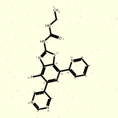 CCNC(=O)Nc1nc2c(F)c(-c3cncnc3)cc(-c3ccccn3)c2s1